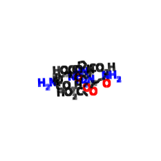 CC(C)C[C@H](N)C(=O)O.CC(OC(=O)[C@@H](N)CCC(N)=O)C(=O)O.C[C@H](N)C(=O)O.O=C(O)C1CCCC1.O=C1CC[C@@H](C(=O)O)N1